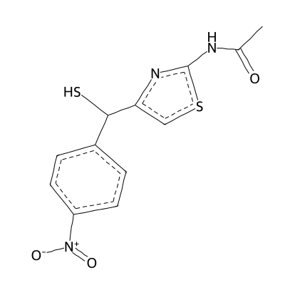 CC(=O)Nc1nc(C(S)c2ccc([N+](=O)[O-])cc2)cs1